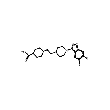 [NH]C(=O)C1CCC(CCN2CCN(c3noc4cc(F)c(F)cc34)CC2)CC1